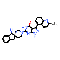 N[C@@H]1c2ccccc2CC12CCN(c1nc3[nH]nc(C4=CCCc5nc(C(F)(F)F)ccc54)c3c(=O)[nH]1)CC2